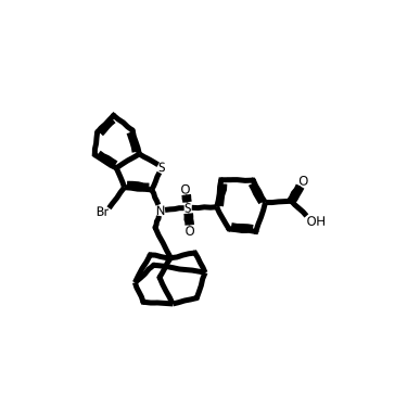 O=C(O)c1ccc(S(=O)(=O)N(CC23CC4CC(CC(C4)C2)C3)c2sc3ccccc3c2Br)cc1